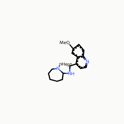 CCCCCCCN1CCCCCC1NCc1ccnc2ccc(OC)cc12